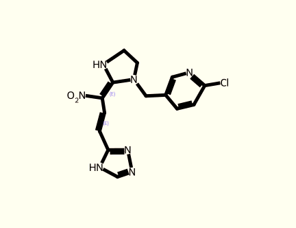 O=[N+]([O-])C(/C=C/c1nnc[nH]1)=C1\NCCN1Cc1ccc(Cl)nc1